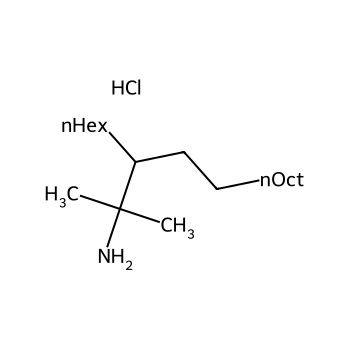 CCCCCCCCCCC(CCCCCC)C(C)(C)N.Cl